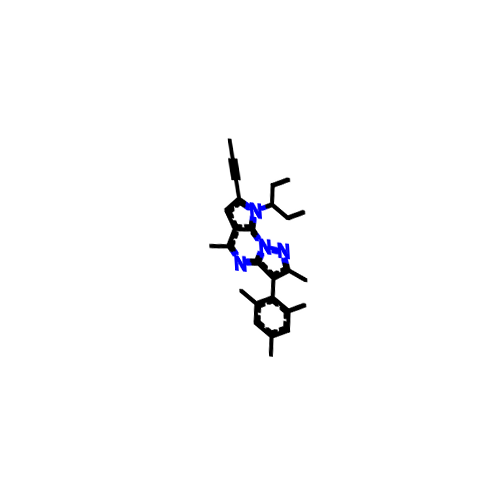 CC#Cc1cc2c(C)nc3c(-c4c(C)cc(C)cc4C)c(C)nn3c2n1C(CC)CC